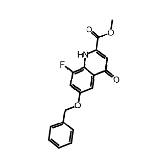 COC(=O)c1cc(=O)c2cc(OCc3ccccc3)cc(F)c2[nH]1